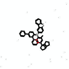 Cc1cc(C23CCC(C2)C2CCCC23)c#cc1N(c1ccc2sc3ccccc3c2c1)c1ccc(-c2ccccc2)cc1C1=CC=CCC1